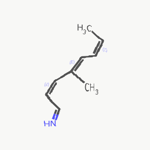 C\C=C/C=C(C)/C=C\C=N